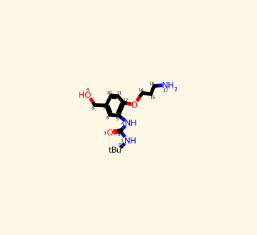 CC(C)(C)NC(=O)Nc1cc(CO)ccc1OCCCN